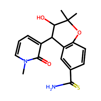 Cn1cccc(C2c3cc(C(N)=S)ccc3OC(C)(C)C2O)c1=O